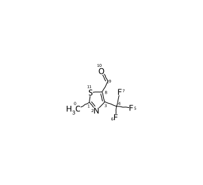 Cc1nc(C(F)(F)F)c([C]=O)s1